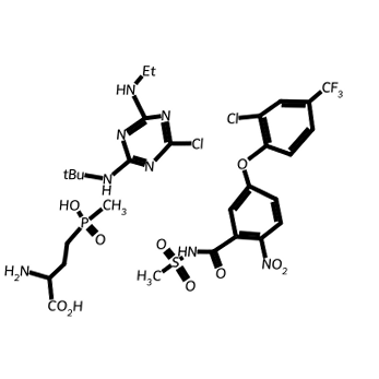 CCNc1nc(Cl)nc(NC(C)(C)C)n1.CP(=O)(O)CCC(N)C(=O)O.CS(=O)(=O)NC(=O)c1cc(Oc2ccc(C(F)(F)F)cc2Cl)ccc1[N+](=O)[O-]